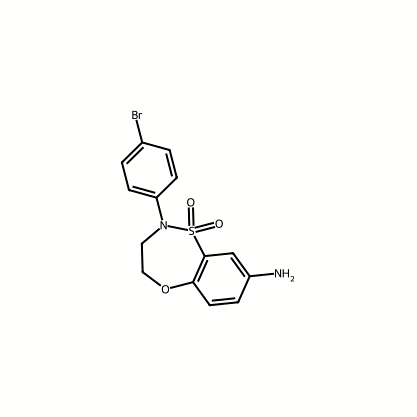 Nc1ccc2c(c1)S(=O)(=O)N(c1ccc(Br)cc1)CCO2